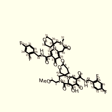 COCCN1CC2(CCC(Oc3c4n(cc(C(=O)NCc5ccc(F)cc5F)c3=O)C3(CCOCC3)CN(C)C(=O)C4)OC2)n2cc(C(=O)NCc3ccc(F)cc3F)c(=O)c(O)c2C1=O